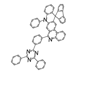 c1ccc(-c2nc(-c3ccccc3)nc(-c3cccc(-c4nc5ccccc5c5cc6c(cc45)N(c4ccccc4)c4ccccc4C64c5ccccc5-c5ccccc54)c3)n2)cc1